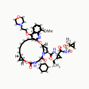 C=C[C@@H]1C[C@]1(NC(=O)[C@@H]1C[C@@H]2CN1C(=O)[C@H](C1CCCCC1)NC(=O)O[C@@H]1C[C@H]1CCCCCc1c(nc3c(OC)cccc3c1OCCN1CCOCC1)O2)C(=O)NS(=O)(=O)C1(C)CC1